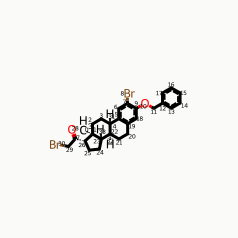 C[C@]12CC[C@@H]3c4cc(Br)c(OCc5ccccc5)cc4CC[C@H]3[C@@H]1CC[C@@H]2C(=O)CBr